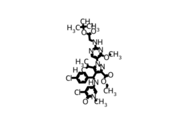 CCOC(=O)c1nn(-c2cnc(NCC(=O)OC(C)(C)C)nc2OC)c(C(C)C)c1C(Nc1cc(Cl)c(=O)n(C)c1)c1ccc(Cl)cc1